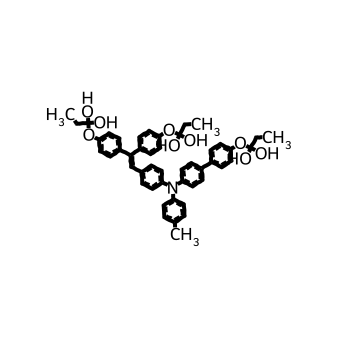 CCC(O)(O)Oc1ccc(C(=Cc2ccc(N(c3ccc(C)cc3)c3ccc(-c4ccc(OC(O)(O)CC)cc4)cc3)cc2)c2ccc(OC(O)(O)CC)cc2)cc1